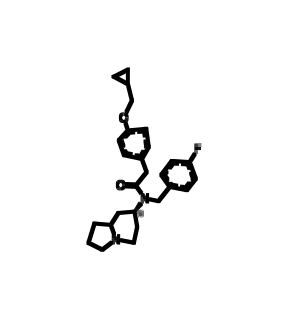 O=C(Cc1ccc(OCC2CC2)cc1)N(Cc1ccc(F)cc1)[C@H]1CCN2CCCC2C1